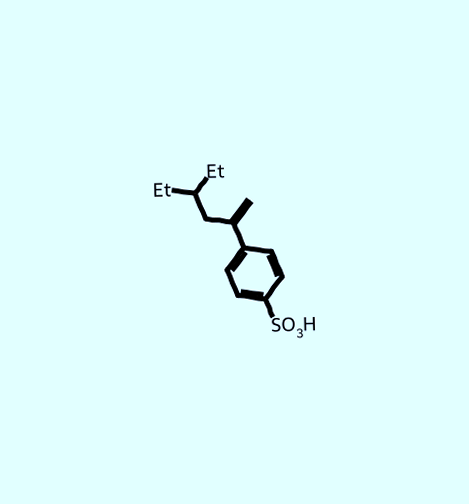 C=C(CC(CC)CC)c1ccc(S(=O)(=O)O)cc1